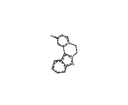 O=c1ccn2c(c1)-c1c3ccccc3nn1CC2